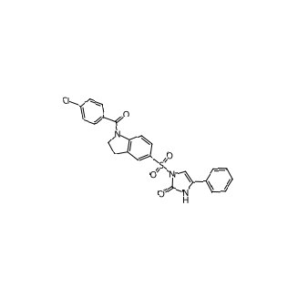 O=C(c1ccc(Cl)cc1)N1CCc2cc(S(=O)(=O)n3cc(-c4ccccc4)[nH]c3=O)ccc21